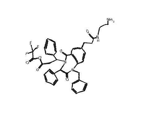 NCCNC(=O)CCc1ccc2c(c1)C(=O)N(C(CC(=O)OC(=O)C(F)(F)F)c1ccccc1)C(c1ccccc1)C(=O)N2Cc1ccccc1